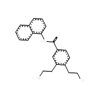 NCCc1cc(C(=O)Nc2cccc3ccccc23)ccc1CCO